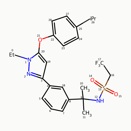 CCn1nc(-c2cccc(C(C)(C)NS(=O)(=O)CC(F)(F)F)c2)cc1Oc1ccc(C(C)C)cc1